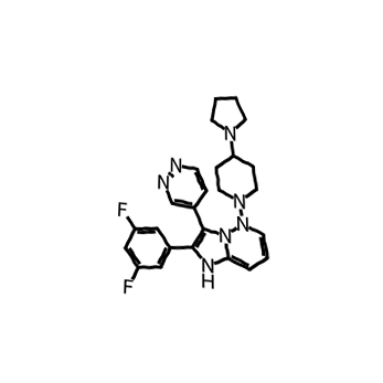 Fc1cc(F)cc(C2=C(c3ccnnc3)N3C(=CC=CN3N3CCC(N4CCCC4)CC3)N2)c1